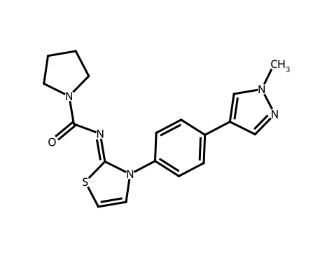 Cn1cc(-c2ccc(-n3ccs/c3=N\C(=O)N3CCCC3)cc2)cn1